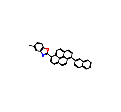 Cc1ccc2oc(-c3ccc4ccc5c(-c6ccc7ccccc7c6)ccc6ccc3c4c65)nc2c1